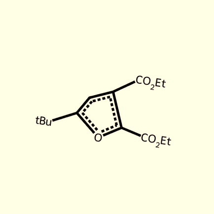 CCOC(=O)c1cc(C(C)(C)C)oc1C(=O)OCC